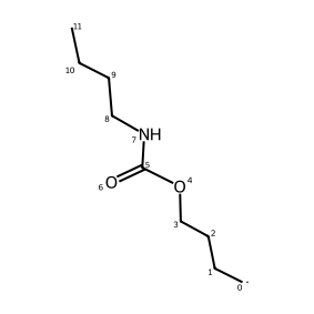 [CH2]CCCOC(=O)NCCCC